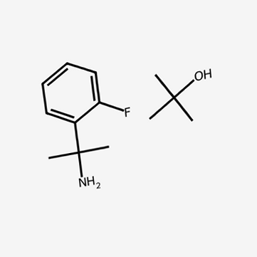 CC(C)(C)O.CC(C)(N)c1ccccc1F